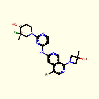 CC(C)c1cnc(N2CC(C)(O)C2)c2cnc(Nc3ccnc(N4CC[C@@H](O)[C@@](C)(F)C4)n3)cc12